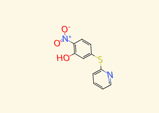 O=[N+]([O-])c1ccc(Sc2ccccn2)cc1O